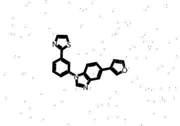 c1cc(-c2nccs2)cc(-n2cnc3cc(-c4ccoc4)ccc32)c1